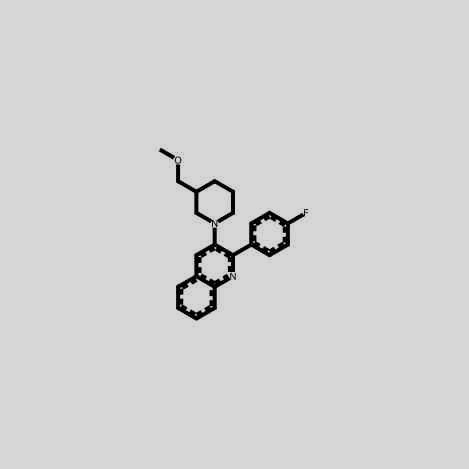 COCC1CCCN(c2cc3ccccc3nc2-c2ccc(F)cc2)C1